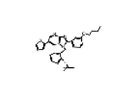 CCCCOc1cccc(-c2nc3ncc(-c4ccco4)cc3n2Cc2ccccc2OC(C)=O)c1